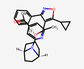 COC(=O)c1cc(C)nc(N2[C@@H]3CC[C@H]2C[C@H](OCc2c(-c4ccccc4C(F)(F)F)noc2C2CC2)C3)c1